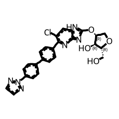 OC[C@H]1OC[C@@H](Oc2nc3nc(-c4ccc(-c5ccc(-n6nccn6)cc5)cc4)c(Cl)cc3[nH]2)[C@@H]1O